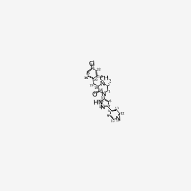 CN1CCN(c2cc(-c3ccncc3)n[nH]2)C(=O)[C@H]1Cc1ccc(Cl)cc1